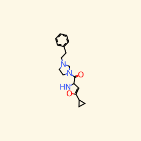 O=C(C1C=C(C2CC2)ON1)N1CCN(CCc2ccccc2)C1